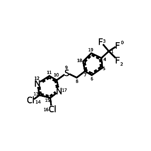 FC(F)(F)c1ccc(CSc2cnc(Cl)c(Cl)n2)cc1